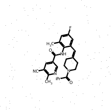 Cc1cc(F)cc(C=C2CCN(C(=O)C(C)C)CC2)c1NC(=O)c1cnc(C)c(C#N)c1